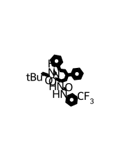 CC(C)(C)CC(=O)NN1C(=O)C(NC(=O)Nc2cccc(C(F)(F)F)c2)CC(c2ccccc2)CC1c1ccccc1